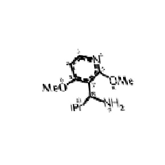 COc1ccnc(OC)c1C(N)C(C)C